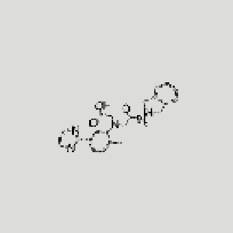 Cc1ccc(-c2ncccn2)cc1N(CC(=O)O)CC(=O)N(C)N1Cc2ccccc2C1